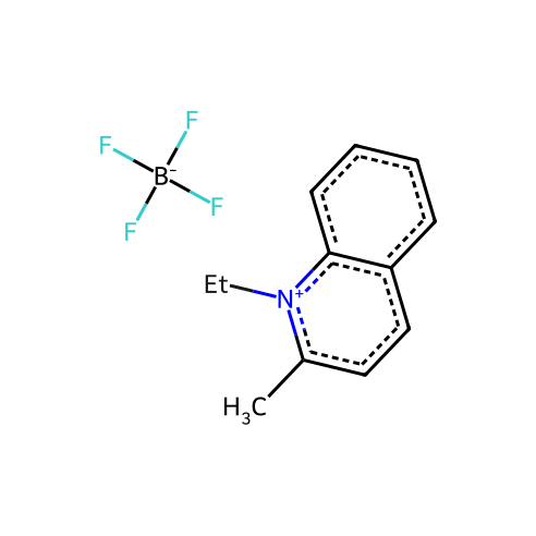 CC[n+]1c(C)ccc2ccccc21.F[B-](F)(F)F